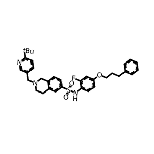 CC(C)(C)c1ccc(CN2CCc3cc(S(=O)(=O)Nc4ccc(OCCCc5ccccc5)cc4F)ccc3C2)cn1